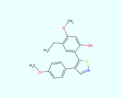 CCc1cc(-c2sncc2-c2ccc(OC)cc2)c(O)cc1OC